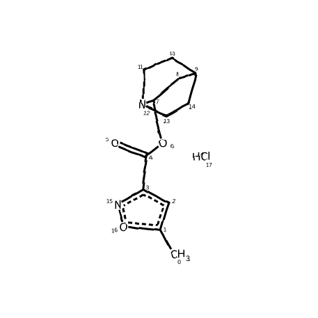 Cc1cc(C(=O)OC2CC3CCN2CC3)no1.Cl